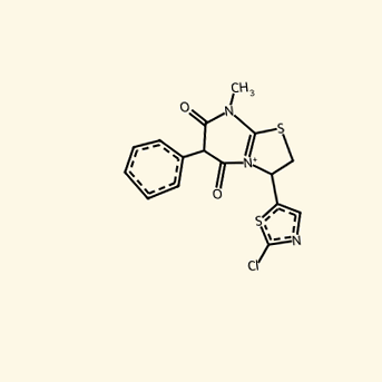 CN1C(=O)C(c2ccccc2)C(=O)[N+]2=C1SCC2c1cnc(Cl)s1